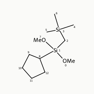 CO[Si](C[Si](C)(C)C)(OC)C1CCCC1